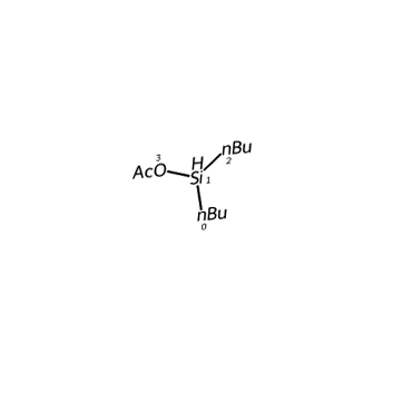 CCCC[SiH](CCCC)OC(C)=O